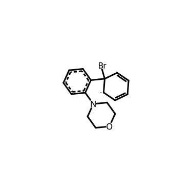 BrC1(c2ccccc2N2CCOCC2)[CH]C=CC=C1